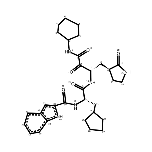 O=C(NC1CCCCC1)C(=O)[C@H](C[C@@H]1CCNC1=O)NC(=O)[C@H](CC1CCCC1)NC(=O)c1cc2ccccc2[nH]1